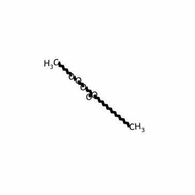 CCCCCCCCCCCCCCCCCCOC(=O)CCCOCCOCCOCCCCCCCC